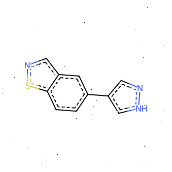 c1cc2sncc2cc1-c1cn[nH]c1